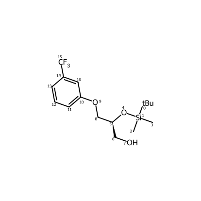 CC(C)(C)[Si](C)(C)O[C@@H](CO)COc1cccc(C(F)(F)F)c1